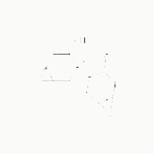 CC1CC2OC2CC1C1(C)CC2OC2CC1C